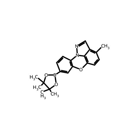 Cc1ccc2c3c1cnn3-c1ccc(B3OC(C)(C)C(C)(C)O3)cc1O2